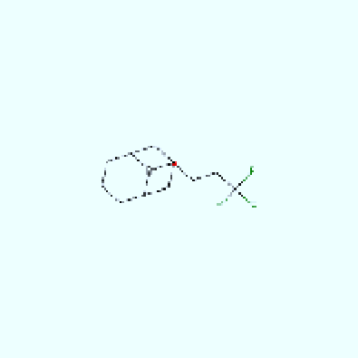 FC(F)(F)CCCB1C2CCCC1CCC2